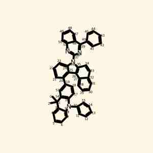 CC1(C)c2ccccc2N(c2ccccc2)c2ccc(-c3cccc4c3c3c5ccccc5ccc3n4-c3nc(-c4ccccc4)c4ccccc4n3)cc21